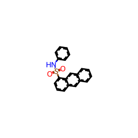 O=S(=O)(Nc1ccccc1)c1cccc2cc3ccccc3cc12